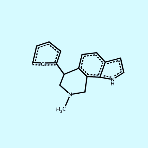 CN1Cc2c(ccc3cc[nH]c23)C(c2ccccc2)C1